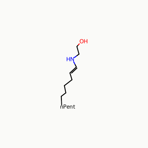 CCCCCCCCCC=CNCCO